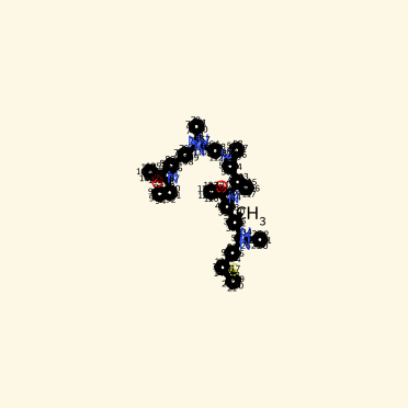 Cc1cc(-c2cc(-c3ccc(-c4cccc5c4sc4ccccc45)cc3)nc(-c3ccccc3)n2)ccc1-c1ccc2c(c1)nc(-c1cc(-c3ccc4c(c3)c3ccccc3n4-c3ccc(-c4nc(-c5ccccc5)nc(-c5ccc(-c6ccc7c(c6)nc(-c6cccc8ccccc68)c6oc8ccccc8c67)cc5)n4)cc3)cc3ccccc13)c1oc3ccccc3c12